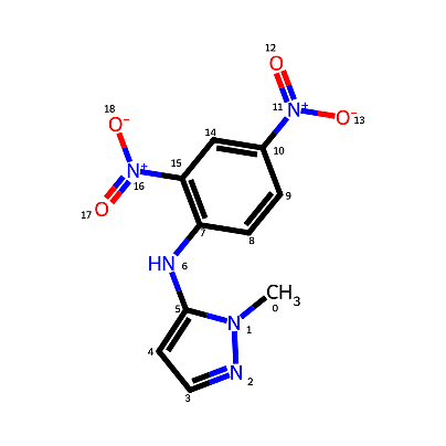 Cn1nccc1Nc1ccc([N+](=O)[O-])cc1[N+](=O)[O-]